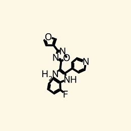 N/C(=C(\Nc1ccccc1F)c1ccncc1)c1nc(-c2ccoc2)no1